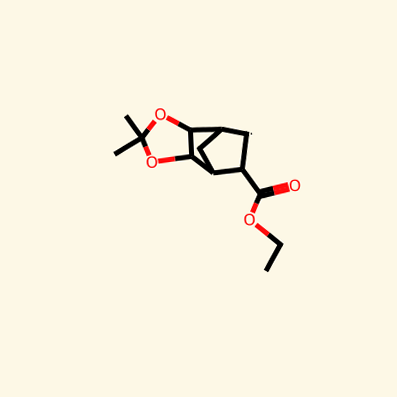 CCOC(=O)C1[CH]C2CC1C1OC(C)(C)OC21